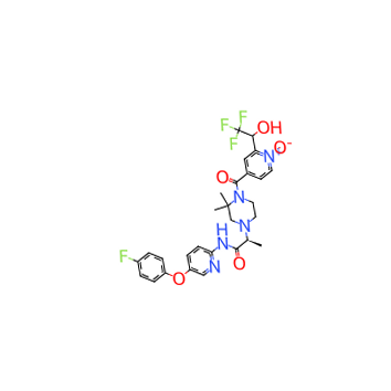 C[C@@H](C(=O)Nc1ccc(Oc2ccc(F)cc2)cn1)N1CCN(C(=O)c2cc[n+]([O-])c(C(O)C(F)(F)F)c2)C(C)(C)C1